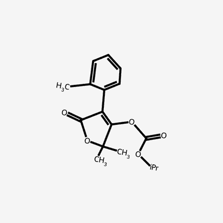 Cc1ccccc1C1=C(OC(=O)OC(C)C)C(C)(C)OC1=O